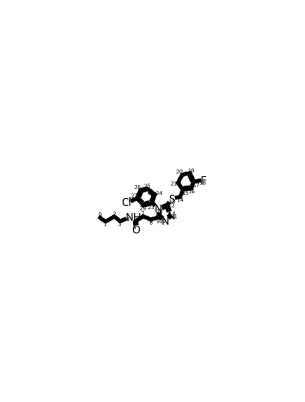 CCCCNC(=O)CCc1nnc(SCC2=CC(F)=CCC2)n1-c1cccc(Cl)c1